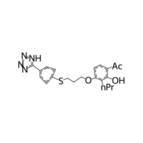 CCCc1c(OCCCSc2ccc(-c3nnn[nH]3)cc2)ccc(C(C)=O)c1O